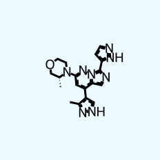 Cc1n[nH]cc1-c1cc(N2CCOC[C@H]2C)nn2c(-c3ccn[nH]3)ncc12